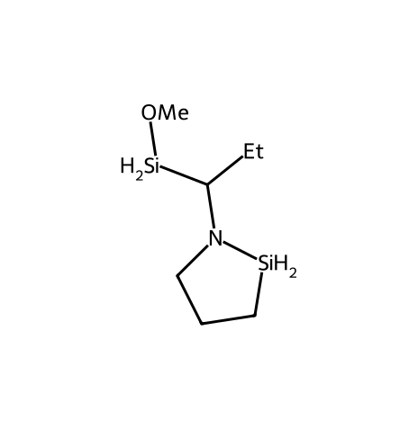 CCC([SiH2]OC)N1CCC[SiH2]1